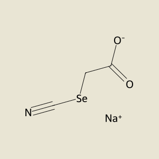 N#C[Se]CC(=O)[O-].[Na+]